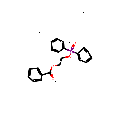 O=C(OCCOP(=O)(c1ccccc1)c1ccccc1)c1ccccc1